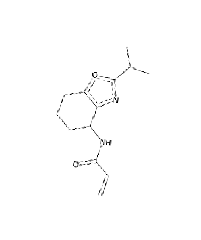 C=CC(=O)NC1CCCc2oc(C(C)C)nc21